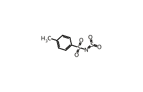 Cc1ccc(S(=O)(=O)N=S(=O)=O)cc1